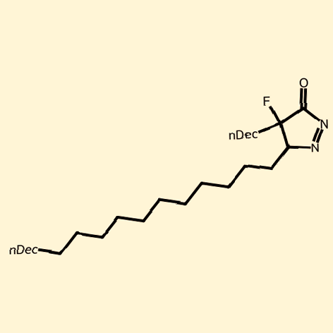 CCCCCCCCCCCCCCCCCCCCCC1N=NC(=O)C1(F)CCCCCCCCCC